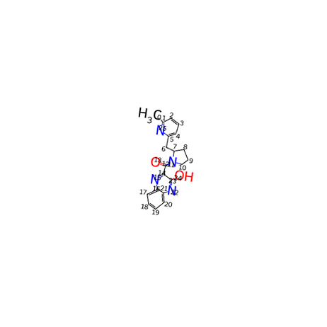 Cc1cccc(CC2CCCN2C(=O)c2nc3ccccc3nc2O)n1